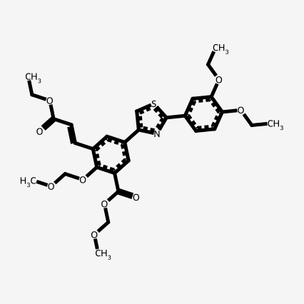 CCOC(=O)C=Cc1cc(-c2csc(-c3ccc(OCC)c(OCC)c3)n2)cc(C(=O)OCOC)c1OCOC